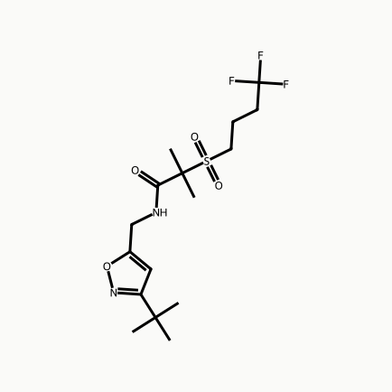 CC(C)(C)c1cc(CNC(=O)C(C)(C)S(=O)(=O)CCCC(F)(F)F)on1